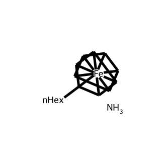 CCCCCC[C]12[CH]3[CH]4[CH]5[CH]1[Fe]45321678[CH]2[CH]1[CH]6[CH]7[CH]28.N